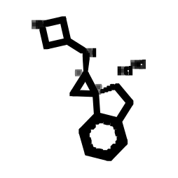 Cl.Cl.c1ccc2c(c1)CC[C@@]21C[C@H]1NC1CNC1